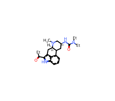 CCC(=O)c1[nH]c2cccc3c2c1C[C@@H]1C3C[C@H](NC(=O)N(CC)CC)CN1C